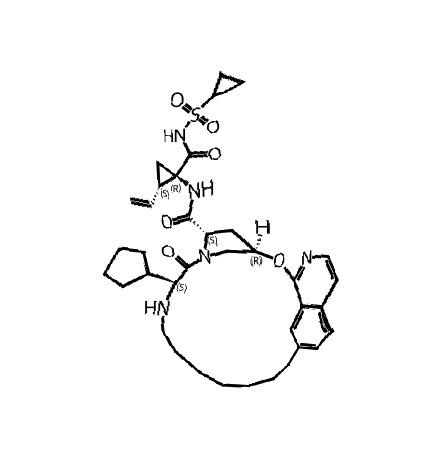 C=C[C@@H]1C[C@]1(NC(=O)[C@@H]1C[C@@H]2CN1C(=O)[C@H](C1CCCC1)NCCCCCCCc1ccc3ccnc(c3c1)O2)C(=O)NS(=O)(=O)C1CC1